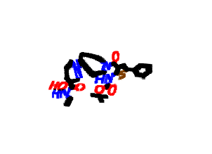 CCNC(=O)C1(O)CCCN(C2CCN(C(=O)c3cc(-c4ccccc4)sc3NC(=O)OC(C)(C)C)CC2)C1